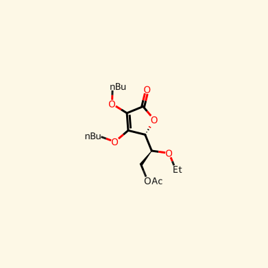 CCCCOC1=C(OCCCC)[C@@H]([C@H](COC(C)=O)OCC)OC1=O